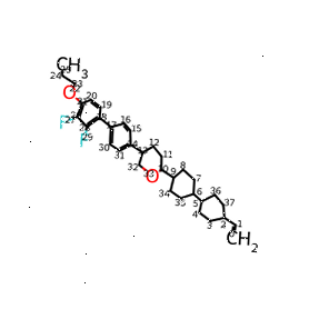 C=CC1CCC(C2CCC(C3CCC(c4ccc(-c5ccc(OCCC)c(F)c5F)cc4)CO3)CC2)CC1